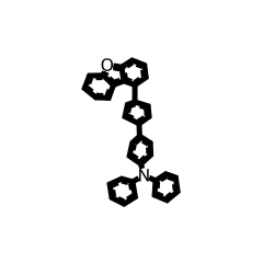 c1ccc(N(c2ccccc2)c2ccc(-c3ccc(-c4cccc5oc6ccccc6c45)cc3)cc2)cc1